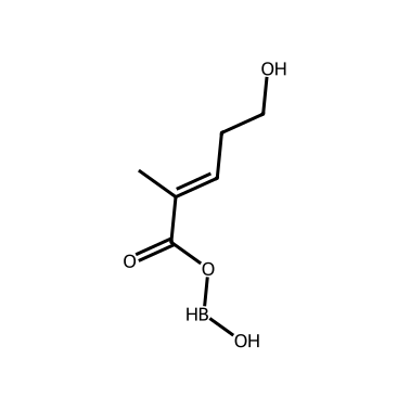 CC(=CCCO)C(=O)OBO